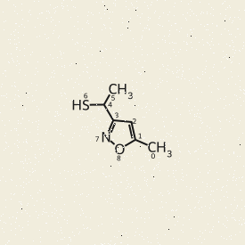 Cc1cc(C(C)S)no1